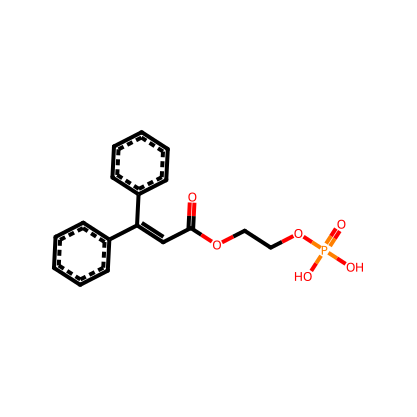 O=C(C=C(c1ccccc1)c1ccccc1)OCCOP(=O)(O)O